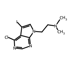 CN(C)CCn1cc(I)c2c(Cl)ncnc21